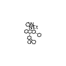 CCc1nc2ccccc2n1-c1c2ccccc2c(-c2ccc3oc4ccccc4c3c2)c2cc(-c3ccccc3)ccc12